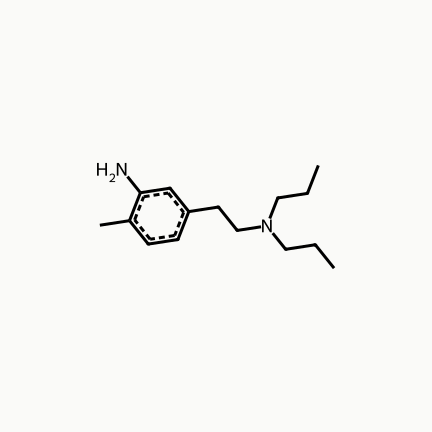 CCCN(CCC)CCc1ccc(C)c(N)c1